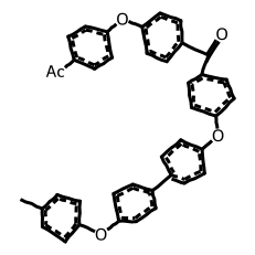 CC(=O)c1ccc(Oc2ccc(C(=O)c3ccc(Oc4ccc(-c5ccc(Oc6ccc(C)cc6)cc5)cc4)cc3)cc2)cc1